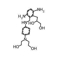 Nc1ccc(N)c(CC(O)CO)c1CNc1ccc(N(CCO)CCO)cc1